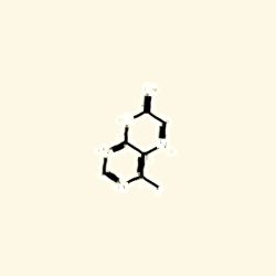 Cc1ncnc2oc(=O)cnc12